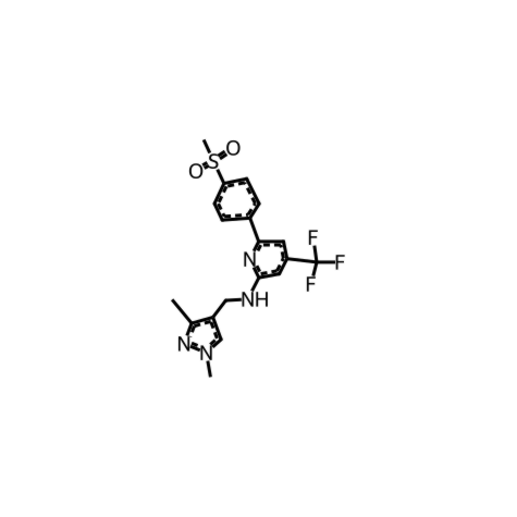 Cc1nn(C)cc1CNc1cc(C(F)(F)F)cc(-c2ccc(S(C)(=O)=O)cc2)n1